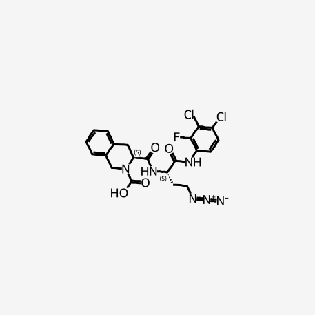 [N-]=[N+]=NCC[C@H](NC(=O)[C@@H]1Cc2ccccc2CN1C(=O)O)C(=O)Nc1ccc(Cl)c(Cl)c1F